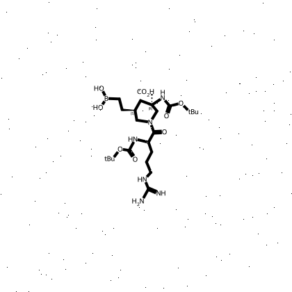 CC(C)(C)OC(=O)NC(CCCNC(=N)N)C(=O)N1C[C@@H](CCB(O)O)C[C@](NC(=O)OC(C)(C)C)(C(=O)O)C1